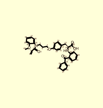 C=CC(=O)N(CCCOc1ccc(C[C@H](Nc2ccccc2C(=O)c2ccccc2)C(=O)O)cc1)c1ccccc1OC